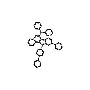 c1ccc(-c2ccc(-n3c4cc(-c5ccccc5)ccc4c4c(N(c5ccccc5)c5ccccc5)cc5ccccc5c43)cc2)cc1